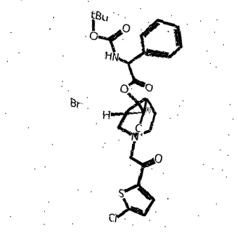 CC(C)(C)OC(=O)NC(C(=O)O[C@H]1C[N+]2(CC(=O)c3ccc(Cl)s3)CCC1CC2)c1ccccc1.[Br-]